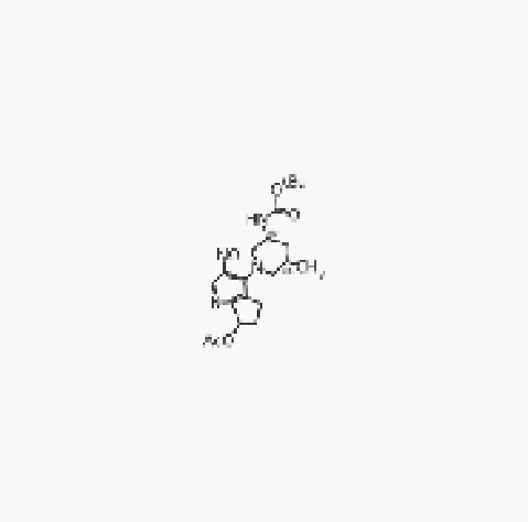 CC(=O)OC1CCc2c1ncc(N=O)c2N1C[C@H](C)C[C@H](NC(=O)OC(C)(C)C)C1